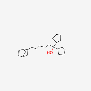 OC(CCCCCC1CC2C=CC1C2)(C1CCCC1)C1CCCC1